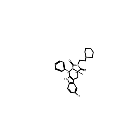 C[C@@]12Cc3c([nH]c4ccc(Cl)cc34)[C@@H](c3ccccc3)N1C(=O)N(CCN1CCCCC1)C2=O